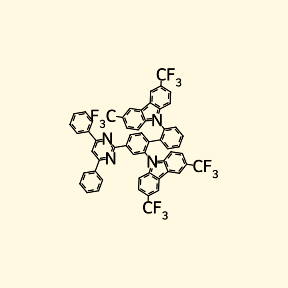 FC(F)(F)c1ccc2c(c1)c1cc(C(F)(F)F)ccc1n2-c1ccccc1-c1ccc(-c2nc(-c3ccccc3)cc(-c3ccccc3)n2)cc1-n1c2ccc(C(F)(F)F)cc2c2cc(C(F)(F)F)ccc21